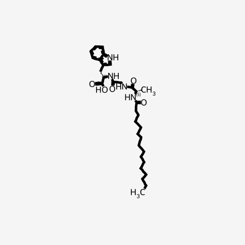 CCCCCCCCCCCCCCCC(=O)N[C@@H](C)C(=O)NCC(=O)N[C@@H](Cc1c[nH]c2ccccc12)C(=O)O